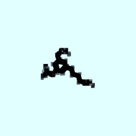 CCc1cc(CCCCN)cc(OC(F)F)c1